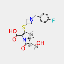 C[C@@H](O)[C@H]1C(=O)N2C(C(=O)O)=C(SC3CN(Cc4ccc(F)cc4)C3)[C@H](C)[C@]12C